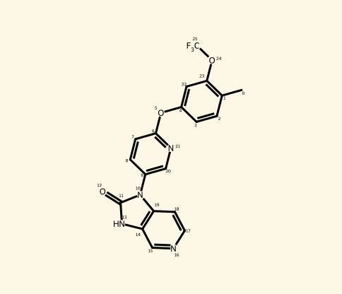 Cc1ccc(Oc2ccc(-n3c(=O)[nH]c4cnccc43)cn2)cc1OC(F)(F)F